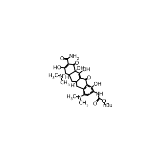 CCCCOC(=O)Nc1cc(N(C)C)c2c(c1O)C(=O)C1=C(O)[C@]3(O)C(=O)C(C(N)=O)=C(O)[C@@H](N(C)C)[C@@H]3C[C@@H]1C2